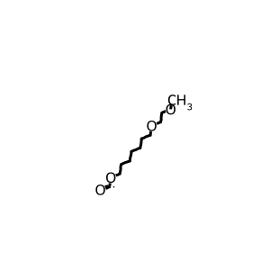 COCCOCCCCCCCO[C]=O